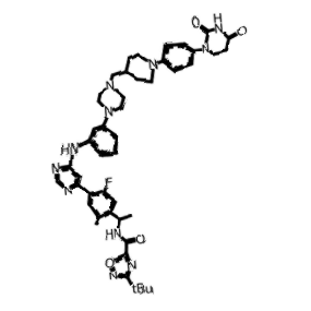 Cc1cc(-c2cc(Nc3cccc(N4CCN(CC5CCN(c6ccc(N7CCC(=O)NC7=O)cc6)CC5)CC4)c3)ncn2)c(F)cc1C(C)NC(=O)c1nc(C(C)(C)C)no1